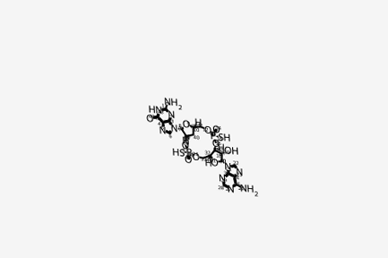 Nc1nc2c(ncn2[C@@H]2O[C@@H]3CO[P@@](=O)(S)O[C@H]4[C@@H](O)[C@H](n5cnc6c(N)ncnc65)O[C@@H]4CO[P@@](=O)(S)O[C@@H]2C3)c(=O)[nH]1